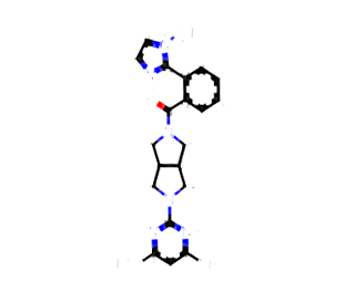 Cc1cc(C)nc(N2CC3CN(C(=O)c4ccccc4-c4nccn4C)CC3C2)n1